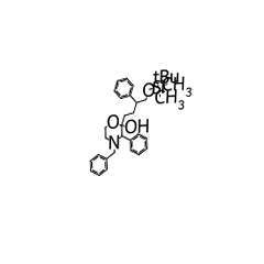 CC(C)(C)[Si](C)(C)OCC(CCC1(O)OCCN(Cc2ccccc2)C1c1ccccc1)c1ccccc1